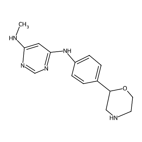 CNc1cc(Nc2ccc(C3CNCCO3)cc2)ncn1